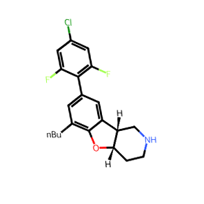 CCCCc1cc(-c2c(F)cc(Cl)cc2F)cc2c1O[C@H]1CCNC[C@@H]21